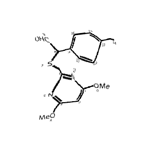 COc1cc(OC)nc(SC(C=O)c2ccc(C)cc2)n1